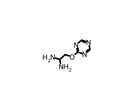 NC(N)COc1ncncn1